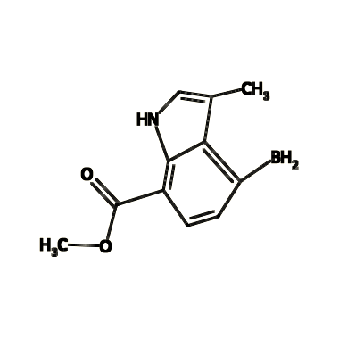 Bc1ccc(C(=O)OC)c2[nH]cc(C)c12